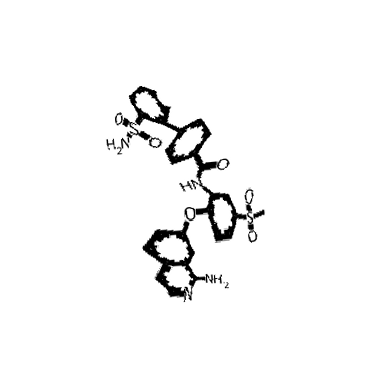 CS(=O)(=O)c1ccc(Oc2ccc3ccnc(N)c3c2)c(NC(=O)c2ccc(-c3ccccc3S(N)(=O)=O)cc2)c1